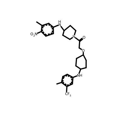 Cc1cc(NC2CCN(C(=O)COC3CCC(Nc4ccc(C)c(C(F)(F)F)c4)CC3)CC2)ccc1[N+](=O)[O-]